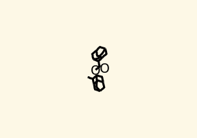 CC1C2CC3CC(C2)CC1(OC(=O)C1C2CC4CC(C2)CC1C4)C3